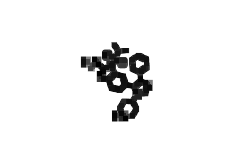 CC(C)S(=O)(=O)n1c(N)nc2ccc(-c3c(-c4ccccc4)ncn3C3CCNCC3)cc21